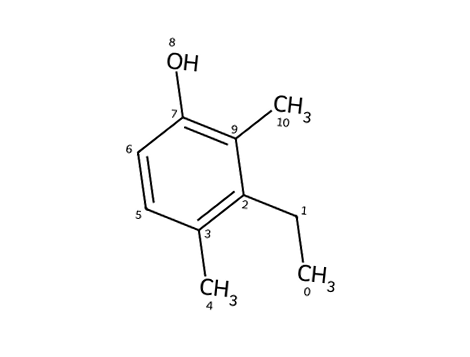 CCc1c(C)ccc(O)c1C